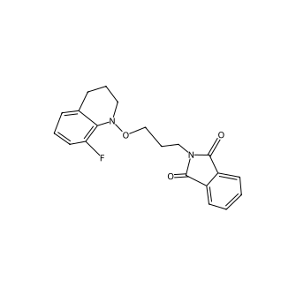 O=C1c2ccccc2C(=O)N1CCCON1CCCc2cccc(F)c21